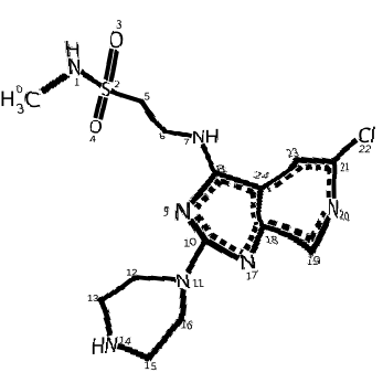 CNS(=O)(=O)CCNc1nc(N2CCNCC2)nc2cnc(Cl)cc12